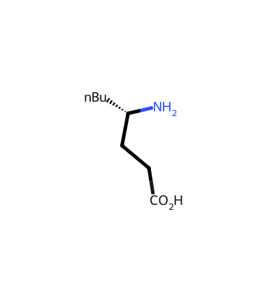 CCCC[C@H](N)CCC(=O)O